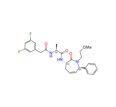 COCCN1C(=O)[C@@H](NC(=O)[C@H](C)NC(=O)Cc2cc(F)cc(F)c2)CC=C[C@@H]1c1ccccc1